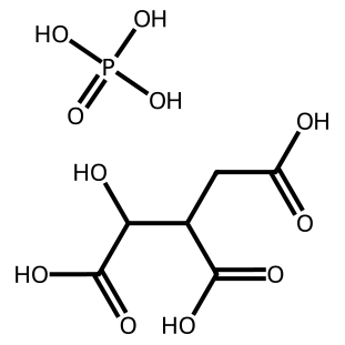 O=C(O)CC(C(=O)O)C(O)C(=O)O.O=P(O)(O)O